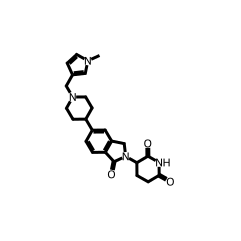 Cn1ccc(CN2CCC(c3ccc4c(c3)CN(C3CCC(=O)NC3=O)C4=O)CC2)c1